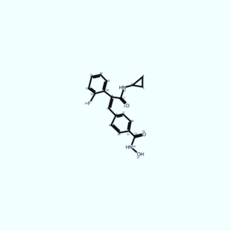 O=C(NC1CC1)C(=Cc1ccc(C(=O)NO)cc1)c1ccccc1F